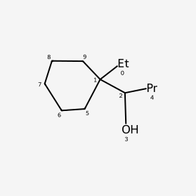 CCC1([CH](O)[Pr])CCCCC1